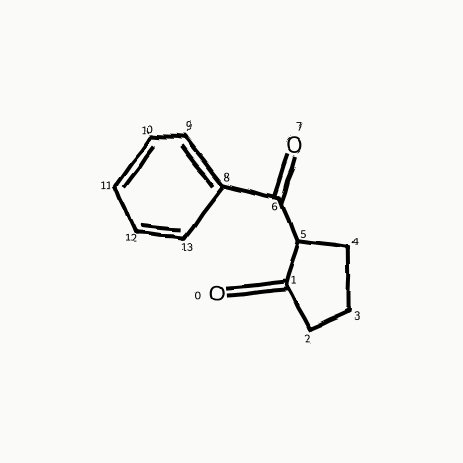 O=C1CCCC1C(=O)c1ccccc1